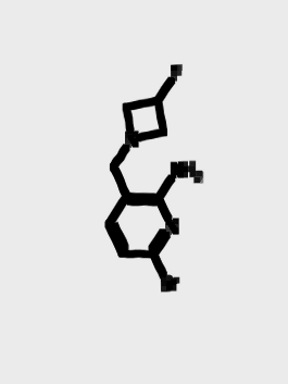 Nc1nc(Br)ccc1CN1CC(F)C1